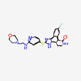 O=c1[nH]ccc2c3[nH]c(Sc4ccnc(NCCN5CCOCC5)c4)nc3c3ccc(F)cc3c12